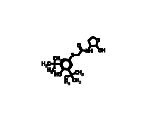 CC(C)(C)c1cc(SCC(=O)NC2CCOC2O)cc(C(C)(C)C)c1O